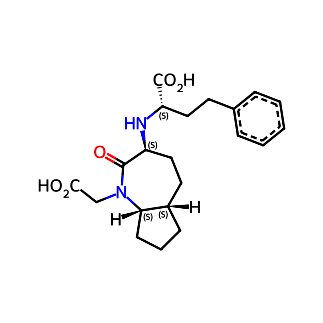 O=C(O)CN1C(=O)[C@@H](N[C@@H](CCc2ccccc2)C(=O)O)CC[C@@H]2CCC[C@@H]21